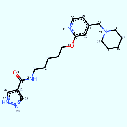 O=C(NCCCCCOc1cc(CN2CCCCC2)ccn1)c1cn[nH]c1